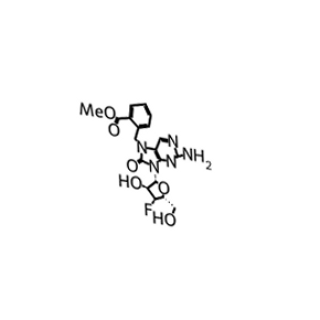 COC(=O)c1ccccc1Cn1c(=O)n([C@@H]2O[C@H](CO)[C@@H](F)[C@H]2O)c2nc(N)ncc21